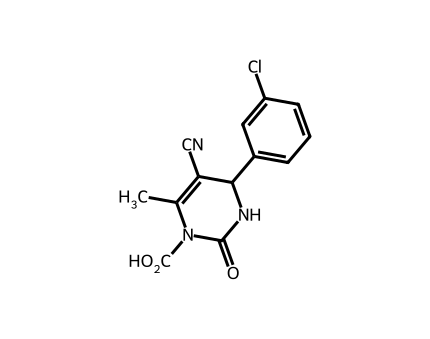 CC1=C(C#N)C(c2cccc(Cl)c2)NC(=O)N1C(=O)O